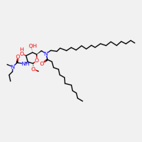 CCCCCCCCCCCCCCCCCCN(C[C@H]1O[C@H](OC)[C@@H](NC(=O)N(C)CCC)[C@@H](O)[C@@H]1O)C(=O)CCCCCCCCCCC